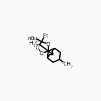 CCCCC1(CC)OOC2(O1)C1CC(C)CC2CC(C)C1